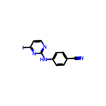 N#Cc1ccc(Nc2nccc(I)n2)cc1